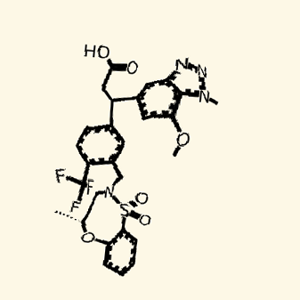 COc1cc(C(CC(=O)O)c2ccc(C(F)(F)F)c(CN3C[C@@H](C)Oc4ccccc4S3(=O)=O)c2)cc2nnn(C)c12